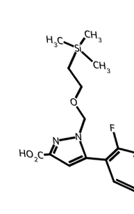 CCc1cc(-c2cc(C(=O)O)nn2COCC[Si](C)(C)C)c(F)cn1